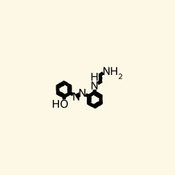 NCCNc1ccccc1N=Nc1ccccc1O